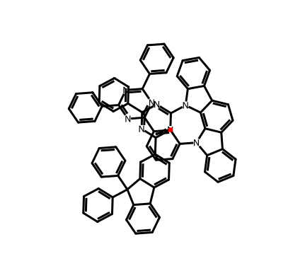 c1ccc(-c2nc(-c3ccccc3)nc(-c3cccc(-n4c5ccccc5c5ccc6c7ccccc7n(-c7nc(-c8ccccc8)nc(-c8ccc9c(c8)C(c8ccccc8)(c8ccccc8)c8ccccc8-9)n7)c6c54)c3)n2)cc1